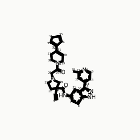 C#CC1(C(=O)Nc2ccc3[nH]nc(-c4ccnc(C)c4)c3c2)CCN(CC(=O)N2CC=C(C3=CCC=C3)CC2)C1